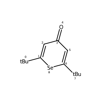 CC(C)(C)c1cc(=O)cc(C(C)(C)C)[se]1